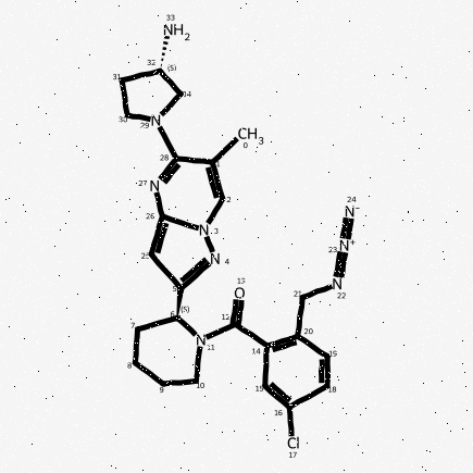 Cc1cn2nc([C@@H]3CCCCN3C(=O)c3cc(Cl)ccc3CN=[N+]=[N-])cc2nc1N1CC[C@H](N)C1